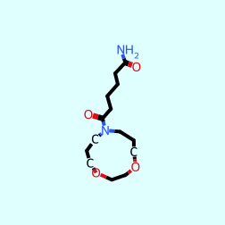 NC(=O)CCCCC(=O)N1CCCOCCOCCC1